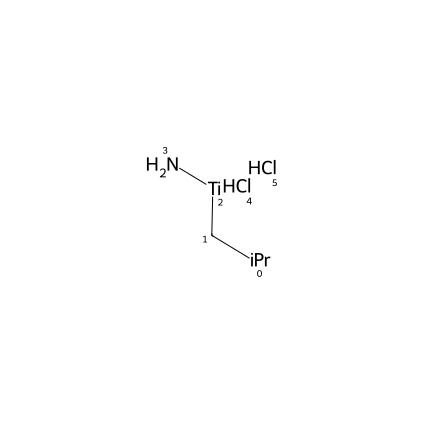 CC(C)[CH2][Ti][NH2].Cl.Cl